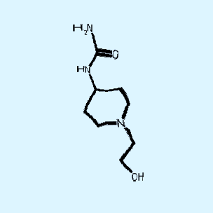 NC(=O)NC1CCN(CCO)CC1